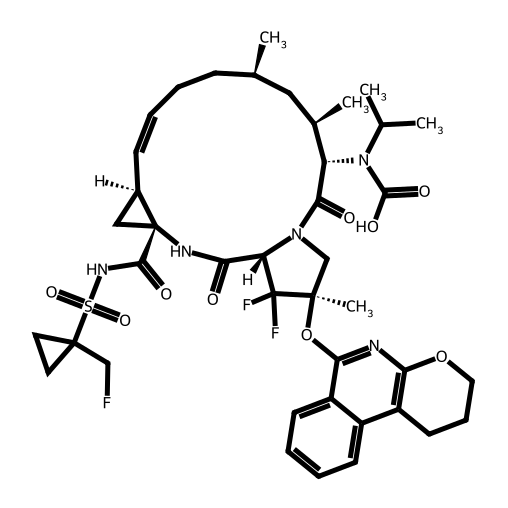 CC(C)N(C(=O)O)[C@@H]1C(=O)N2C[C@@](C)(Oc3nc4c(c5ccccc35)CCCO4)C(F)(F)[C@@H]2C(=O)N[C@]2(C(=O)NS(=O)(=O)C3(CF)CC3)C[C@H]2/C=C\CC[C@@H](C)C[C@H]1C